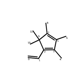 C=CC1=C(C)C(C)=C(C)C1(C)C